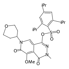 COc1c(=O)n(C2CCOCC2)cc2c(OS(=O)(=O)c3c(C(C)C)cc(C(C)C)cc3C(C)C)nn(C)c(=O)c12